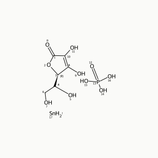 O=C1O[C@H](C(O)CO)C(O)=C1O.O=P(O)(O)O.[SnH2]